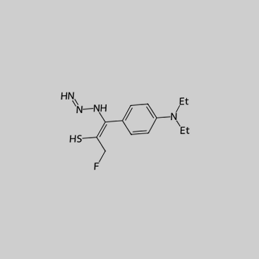 CCN(CC)c1ccc(/C(NN=N)=C(/S)CF)cc1